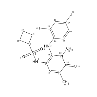 Cc1cc(NS(=O)(=O)C2CCC2)c(Nc2ccc(I)cc2F)n(C)c1=O